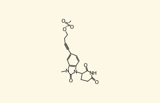 Cn1c(=O)n(C2CCC(=O)NC2=O)c2ccc(C#CCCOS(C)(=O)=O)cc21